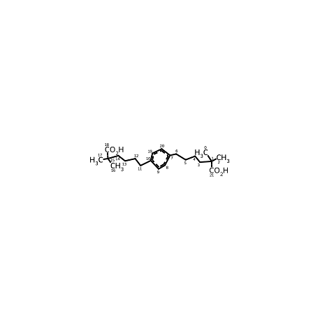 CC(C)(CCCCc1ccc(CCCCC(C)(C)C(=O)O)cc1)C(=O)O